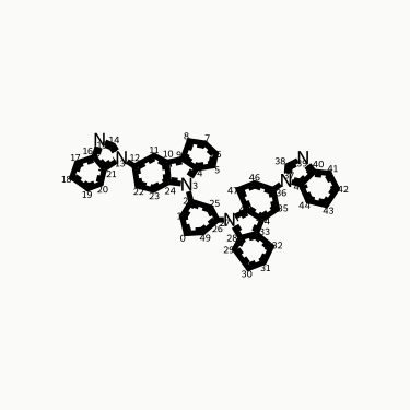 c1cc(-n2c3ccccc3c3cc(-n4cnc5ccccc54)ccc32)cc(-n2c3ccccc3c3cc(-n4cnc5ccccc54)ccc32)c1